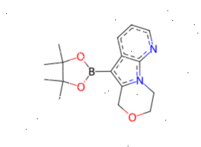 CC1(C)OB(c2c3n(c4ncccc24)CCOC3)OC1(C)C